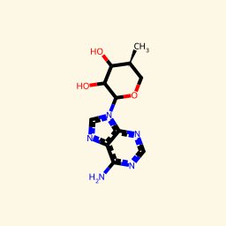 C[C@H]1COC(n2cnc3c(N)ncnc32)C(O)C1O